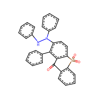 O=C1c2ccccc2S(=O)(=O)c2ccc(N(Nc3ccccc3)c3ccccc3)c(-c3ccccc3)c21